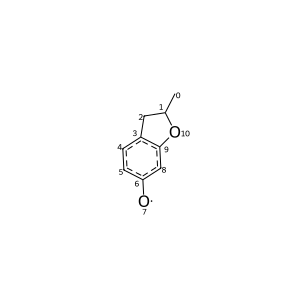 CC1Cc2ccc([O])cc2O1